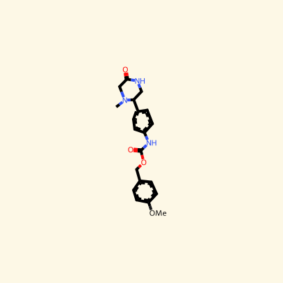 COc1ccc(COC(=O)Nc2ccc(C3CNC(=O)CN3C)cc2)cc1